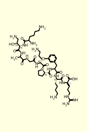 CC(NC(=O)[C@@H](NC(=O)C(N)CCCCN)[C@@H](O)CN)C(=O)NCC(=O)N[C@H](CCCN)C(=O)N1CCC[C@H]1C(=O)NC(Cc1cccc(Cl)c1)C(=O)N[C@@H](CCCCN)C(=O)N/C(=C\CCNC(=N)N)C(=O)O